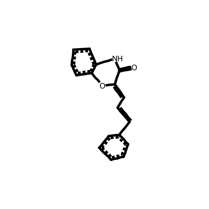 O=C1Nc2ccccc2OC1=CC=Cc1ccccc1